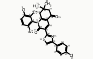 CCc1ccc(Cl)c(CC)c1-n1c2c(cc(-c3nc(-c4ccc(Cl)cc4)cs3)c1=O)C(=O)CC(C)(C)C2